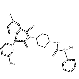 CSc1cccc(-n2c(=O)n([C@H]3CC[C@@H](NC(=O)[C@H](O)c4ccccc4)CC3)c(=O)c3cc(F)cnc32)c1